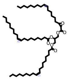 CCCCCCCC/C=C\CCCCCCCC(=O)OCC(COC(=O)C1OC1CCCCC/C=C\CCCCCCCC)OC(=O)CCCCCCC/C=C\CCCCCCCC